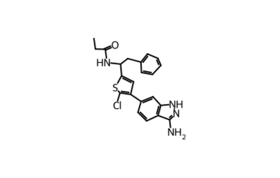 CCC(=O)NC(Cc1ccccc1)c1cc(-c2ccc3c(N)n[nH]c3c2)c(Cl)s1